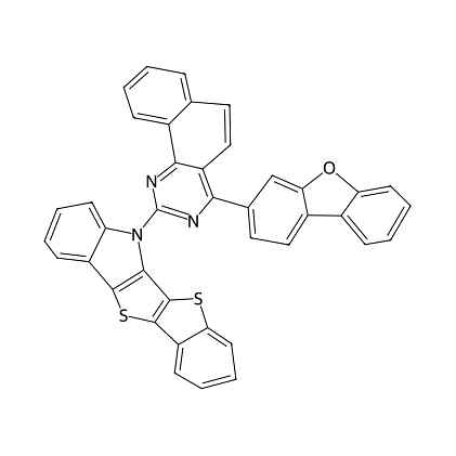 c1ccc2c(c1)ccc1c(-c3ccc4c(c3)oc3ccccc34)nc(-n3c4ccccc4c4sc5c6ccccc6sc5c43)nc12